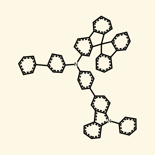 c1ccc(-c2ccc(N(c3ccc(-c4ccc5c(c4)c4ccccc4n5-c4ccccc4)cc3)c3ccc4c(c3)C3(c5ccccc5-c5ccccc53)c3ccccc3-4)cc2)cc1